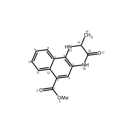 COC(=O)c1cc2c(c3ccccc13)NC(C)C(=O)N2